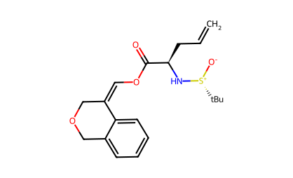 C=CC[C@@H](N[S@+]([O-])C(C)(C)C)C(=O)O/C=C1/COCc2ccccc21